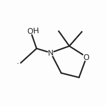 [CH2]C(O)N1CCOC1(C)C